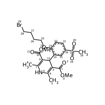 COC(=O)C1=C(C)NC(C)=C(C(=O)OC)C1c1cc(S(C)(=O)=O)ccc1OCCCCBr